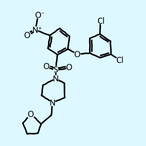 O=[N+]([O-])c1ccc(Oc2cc(Cl)cc(Cl)c2)c(S(=O)(=O)N2CCN(CC3CCCO3)CC2)c1